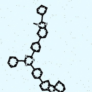 Cn1c(-c2ccccc2)nc2ccc(-c3ccc(-c4nc(-c5ccccc5)nc(-c5ccc(-c6ccc7oc8ccccc8c7c6)cc5)n4)cc3)cc21